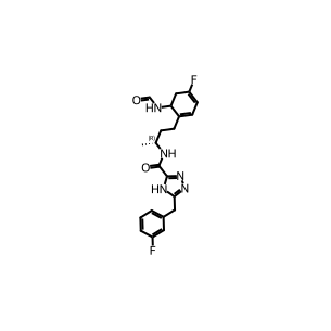 C[C@H](CCC1=CC=C(F)CC1NC=O)NC(=O)c1nnc(Cc2cccc(F)c2)[nH]1